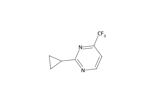 FC(F)(F)c1ccnc(C2CC2)n1